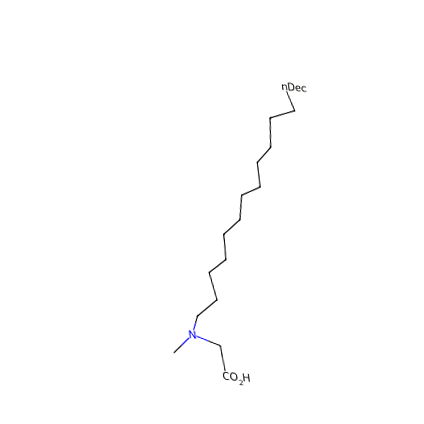 CCCCCCCCCCCCCCCCCCCCCCN(C)CC(=O)O